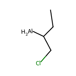 CC[CH]([AlH2])CCl